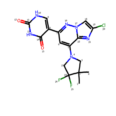 CC1(C)CN(c2cc(-c3c[nH]c(=O)[nH]c3=O)nn3cc(Cl)nc23)CC1(F)F